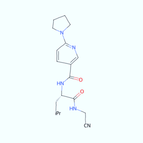 CC(C)C[C@H](NC(=O)c1ccc(N2CCCC2)nc1)C(=O)NCC#N